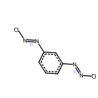 Cl/N=N/c1cccc(/N=N/Cl)c1